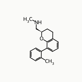 CNC[C@H]1CCc2cccc(-c3ccccc3C)c2O1